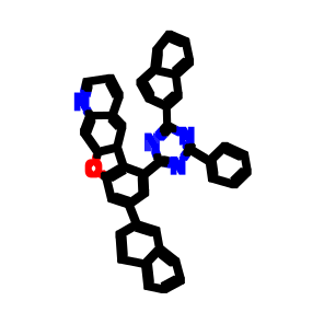 C1=c2cccnc2=CC2Oc3cc(-c4ccc5ccccc5c4)cc(-c4nc(-c5ccccc5)nc(-c5ccc6ccccc6c5)n4)c3C12